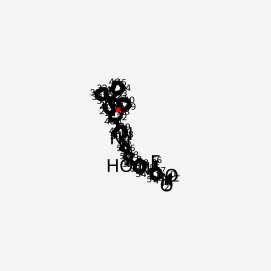 O=[N+]([O-])c1ccc(N2CCC(C3(O)CC4(CN(c5ncc(-c6cnc7c(ccn7C(c7ccccc7)(c7ccccc7)c7ccccc7)c6)cn5)C4)C3)CC2)c(F)c1